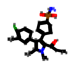 CCC(=O)c1c(-c2ccc(S(N)(=O)=O)cc2)c(-c2ccc(F)c(C)c2)c(C)n1C